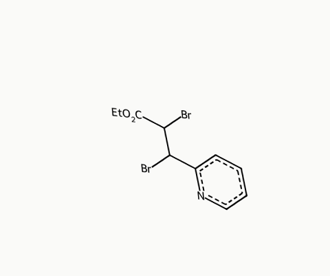 CCOC(=O)C(Br)C(Br)c1ccccn1